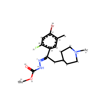 CC(=O)N1CCC(C/C(=N\NC(=O)OC(C)(C)C)c2cc(C)c(Br)cc2F)CC1